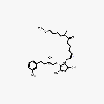 CN(CCCCO[N+](=O)[O-])C(=O)CCC/C=C\C[C@@H]1[C@@H](CC[C@@H](O)CCc2cccc(C(F)(F)F)c2)[C@H](O)C[C@@H]1O